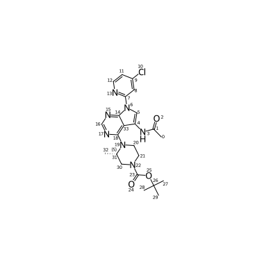 CC(=O)Nc1cn(-c2cc(Cl)ccn2)c2ncnc(N3CCN(C(=O)OC(C)(C)C)C[C@@H]3C)c12